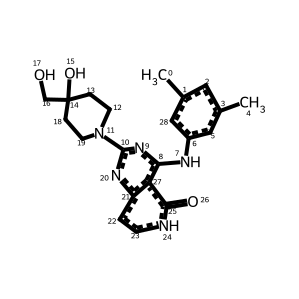 Cc1cc(C)cc(Nc2nc(N3CCC(O)(CO)CC3)nc3cc[nH]c(=O)c23)c1